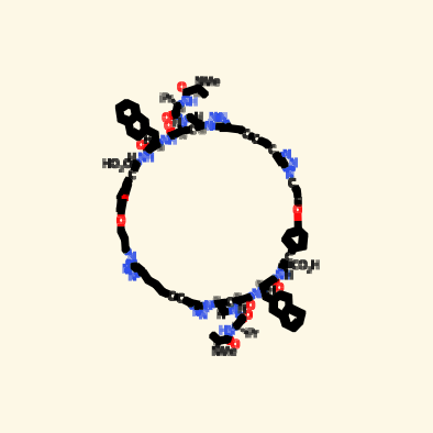 CN[C@@H](C)C(=O)N[C@H](C(=O)N1C[C@@H]2C[C@H]1C(=O)N[C@@H](Cc1ccc3ccccc3c1)C(=O)N[C@H](C(=O)O)Cc1ccc(cc1)OCCCn1cc(nn1)CCCCCc1cn(nn1)[C@H]1C[C@@H](C(=O)N[C@@H](Cc3ccc4ccccc4c3)C(=O)N[C@H](C(=O)O)Cc3ccc(cc3)OCCCn3cc(nn3)CCCCCc3cn2nn3)N(C(=O)[C@@H](NC(=O)[C@H](C)NC)C(C)C)C1)C(C)C